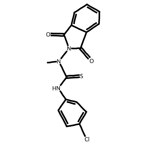 CN(C(=S)Nc1ccc(Cl)cc1)N1C(=O)c2ccccc2C1=O